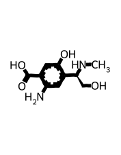 CN[C@@H](CO)c1cc(N)c(C(=O)O)cc1O